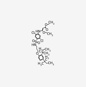 CCOC(=O)C=C(Nc1cc(Cl)c(S(=O)(=O)NCCCOc2ccc(C(C)(C)CC)cc2C(C)(C)CC)cc1Cl)OCC